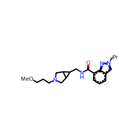 COCCCN1CC2C(CNC(=O)c3cccc4cn(C(C)C)nc34)C2C1